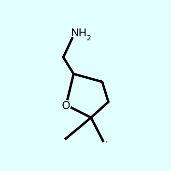 [CH2]C1(C)CCC(CN)O1